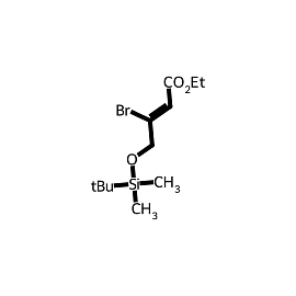 CCOC(=O)C=C(Br)CO[Si](C)(C)C(C)(C)C